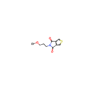 CCOCCCN1C(=O)c2cscc2C1=O